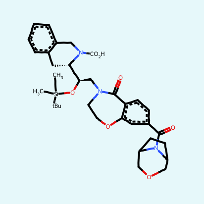 CC(C)(C)[Si](C)(C)O[C@H](CN1CCOc2cc(C(=O)N3C4CCC3COC4)ccc2C1=O)[C@@H]1Cc2ccccc2CN1C(=O)O